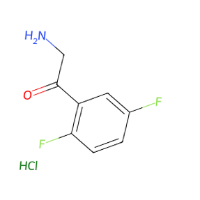 Cl.NCC(=O)c1cc(F)ccc1F